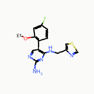 CCOc1cc(F)ccc1-c1cnc(N)nc1NCc1cscn1